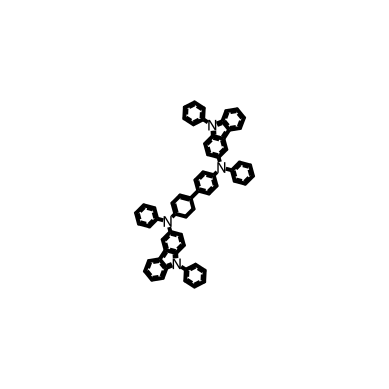 C1=C(c2ccc(N(c3ccccc3)c3ccc4c(c3)c3ccccc3n4-c3ccccc3)cc2)CCC(N(c2ccccc2)c2ccc3c(c2)c2ccccc2n3-c2ccccc2)=C1